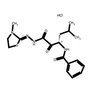 CC(C)C[C@H](NC(=O)c1ccccc1)C(=O)C(=O)N/N=C1\SCCN1C.Cl